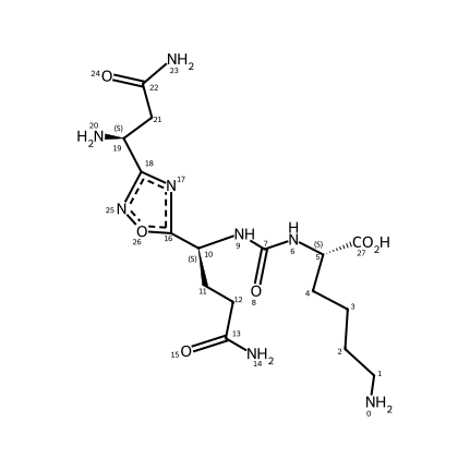 NCCCC[C@H](NC(=O)N[C@@H](CCC(N)=O)c1nc([C@@H](N)CC(N)=O)no1)C(=O)O